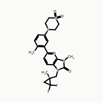 Cc1ccc(N2CCS(=O)(=O)CC2)cc1-c1ccc2c(n1)n(C)c(=O)n2C[C@@]1(C)CC1(F)F